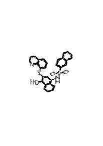 O=S(=O)(Nc1cc(Sc2cccc3cccnc23)c(O)c2ccccc12)c1ccc2ccccc2c1